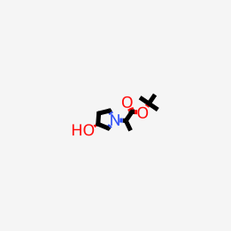 CC(C(=O)OC(C)(C)C)N1CC[C@H](O)C1